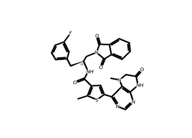 Cc1sc(-c2ncnc3c2N(C)CC(=O)N3)cc1C(=O)N[C@@H](Cc1cccc(F)c1)CN1C(=O)c2ccccc2C1=O